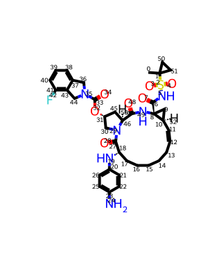 CC1(S(=O)(=O)NC(=O)[C@@]23C[C@H]2/C=C\CCCCC[C@H](Nc2ccc(N)cc2)C(=O)N2C[C@H](OC(=O)N4Cc5cccc(F)c5C4)C[C@H]2C(=O)N3)CC1